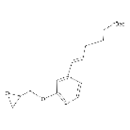 CCCCCCCCCCCCCC=Cc1cccc(OCC2CO2)c1